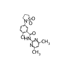 Cc1cc(C)nc(NC(=O)c2cc(N3CCCS3(=O)=O)ccc2Cl)n1